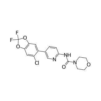 O=C(Nc1ccc(-c2cc3c(cc2Cl)OC(F)(F)O3)cn1)N1CCOCC1